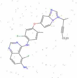 CCOC(=O)C#CC(C)[n+]1cnc2cc(Oc3cc(F)c(Nc4ncnc5ccc(N)c(F)c45)cc3C)ccn21